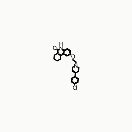 O=c1[nH]c2ccc(OCCN3CC=C(c4ccc(Cl)cc4)CC3)cc2c2c1CCCC2